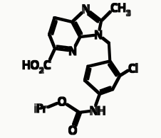 Cc1nc2ccc(C(=O)O)nc2n1Cc1ccc(NC(=O)OC(C)C)cc1Cl